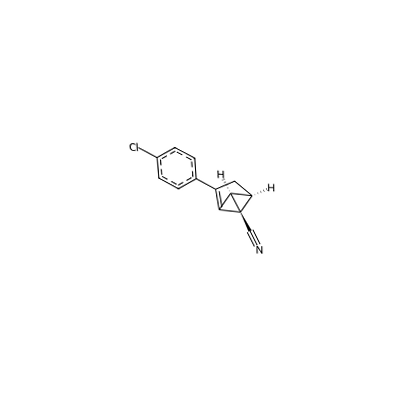 N#C[C@]12C3=C(c4ccc(Cl)cc4)C[C@@H]1[C@H]32